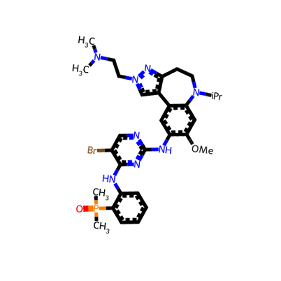 COc1cc2c(cc1Nc1ncc(Br)c(Nc3ccccc3P(C)(C)=O)n1)-c1cn(CCN(C)C)nc1CCN2C(C)C